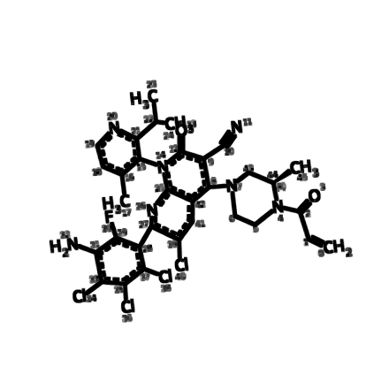 C=CC(=O)N1CCN(c2c(C#N)c(=O)n(-c3c(C)ccnc3C(C)C)c3nc(-c4c(F)c(N)c(Cl)c(Cl)c4Cl)c(Cl)cc23)C[C@H]1C